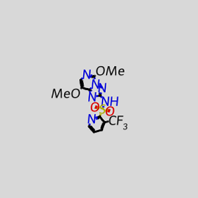 COc1cnc(OC)n2nc(NS(=O)(=O)c3ncccc3C(F)(F)F)nc12